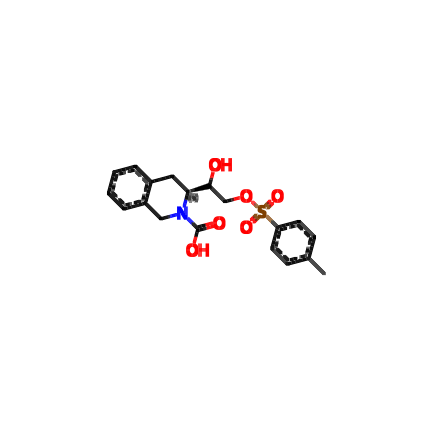 Cc1ccc(S(=O)(=O)OCC(O)[C@@H]2Cc3ccccc3CN2C(=O)O)cc1